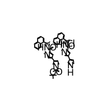 C[C@@H](NC(=O)c1cc(C2=CCN(C(=O)OC(C)(C)C)C2)cn1C)c1cccc2ccccc12.C[C@@H](NC(=O)c1cc(C2=CCNC2)cn1C)c1cccc2ccccc12.Cl